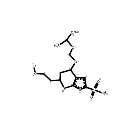 CCOCCC1CC(OCOC(C)OC)c2cc(S(N)(=O)=O)sc2S1